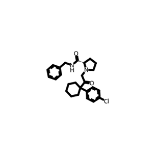 O=C(NCc1ccccc1)[C@@H]1CCCN1CC(=O)C1(c2ccc(Cl)cc2)CCCCC1